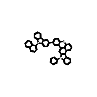 c1ccc(-n2c3ccccc3c3c4cccc5c4c(cc32)-c2cc(-c3ccc4c(c3)c3ccccc3n4-c3cccc4ccccc34)ccc2S5)cc1